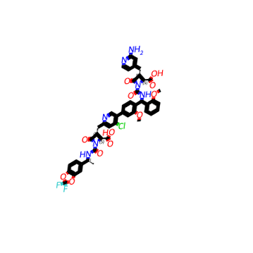 COc1ccccc1C(NC(=O)N1C(=O)[C@H](Cc2ccnc(N)c2)[C@H]1C(=O)O)c1ccc(-c2cnc(C[C@H]3C(=O)N(C(=O)N[C@H](C)c4ccc5c(c4)OC(F)(F)O5)[C@@H]3C(=O)O)cc2Cl)cc1OC